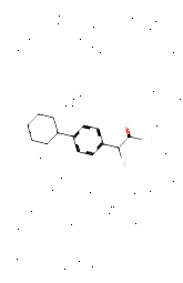 CCC(=O)C(c1ccc(C2CCCCC2)cc1)C(C)C